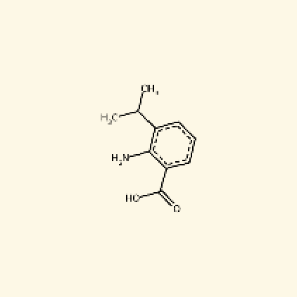 CC(C)c1cccc(C(=O)O)c1N